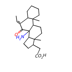 C/C=C1/C(=O)C2(N)C3CCC(CC(=O)O)C3(C)CCC2C2(C)CCCCC12